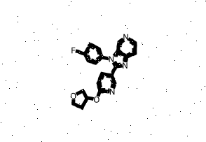 Fc1ccc(-n2c(-c3ccc(OC4CCOC4)nc3)nc3ccncc32)cc1